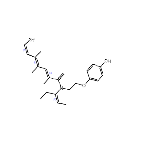 C=C(/C(C)=C/C(C)=C(C)/C=C\S)N(CCOc1ccc(O)cc1)/C(=C\C)CC